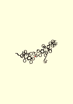 CC=CC1=CN2C(=O)c3cc(OC)c(OCCCOc4cc5c(cc4OC)C(=O)N4C=C(OS(=O)(=O)C(F)(F)F)C[C@H]4C(=O)N5COCC[Si](C)(C)C)cc3N(COCC[Si](C)(C)C)C(=O)[C@@H]2C1